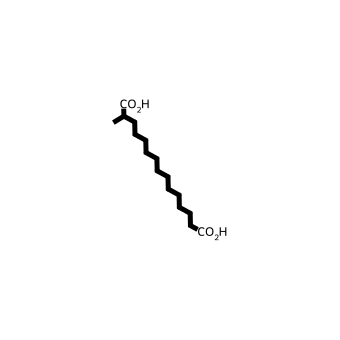 CC(CCCCCCCCCCCCC(=O)O)C(=O)O